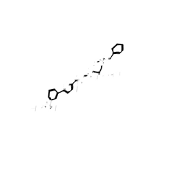 CCCCCC(CN(C=O)OCc1ccccc1)C(=O)NCNC(=O)c1ccc(-c2cccc(N(C)C)c2)o1